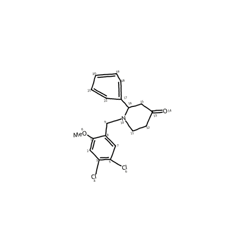 COc1cc(Cl)c(Cl)cc1CN1CCC(=O)CC1c1ccccc1